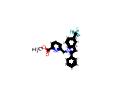 COC(=O)c1cccc(Cn2c(-c3ccccc3)cc3cc(C(F)(F)F)ccc32)n1